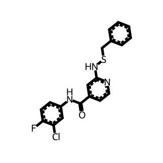 O=C(Nc1ccc(F)c(Cl)c1)c1ccnc(NSCc2ccccc2)c1